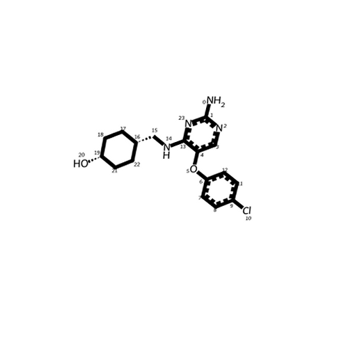 Nc1ncc(Oc2ccc(Cl)cc2)c(NC[C@H]2CC[C@@H](O)CC2)n1